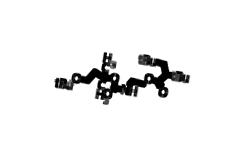 CC(C)(C)CC(C(=O)OCCNC(=O)OC(C)(C)CCOC(C)(C)C)C(C)(C)C